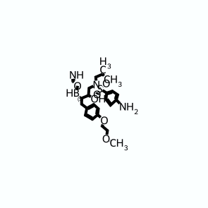 COCCOc1ccc(C[C@H](BOC=N)C(O)CN(CC(C)C)S(=O)(=O)c2ccc(N)cc2)cc1